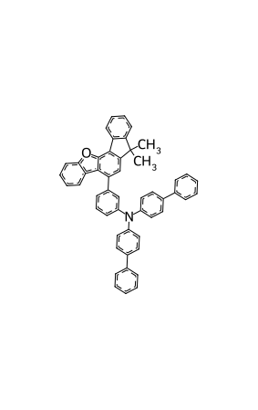 CC1(C)c2ccccc2-c2c1cc(-c1cccc(N(c3ccc(-c4ccccc4)cc3)c3ccc(-c4ccccc4)cc3)c1)c1c2oc2ccccc21